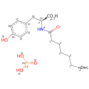 CCCCCCCCCCCCCCCC(=O)N[C@@H](Cc1ccc(O)cc1)C(=O)O.O=[PH](O)O